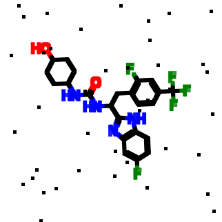 O=C(NC1CCC(O)CC1)NC(Cc1ccc(C(F)(F)F)cc1F)c1nc2cc(F)ccc2[nH]1